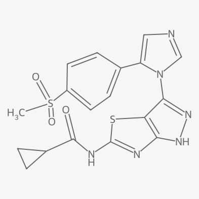 CS(=O)(=O)c1ccc(-c2cncn2-c2n[nH]c3nc(NC(=O)C4CC4)sc23)cc1